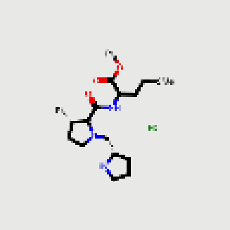 CC[C@H]1CCN(C[C@@H]2CCCN2)C1C(=O)NC(CCSC)C(=O)OC(C)C.Cl